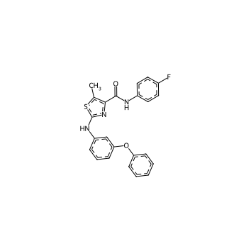 Cc1sc(Nc2cccc(Oc3ccccc3)c2)nc1C(=O)Nc1ccc(F)cc1